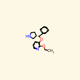 CCOc1ncccc1OC(c1ccccc1)[C@H]1CCNC1